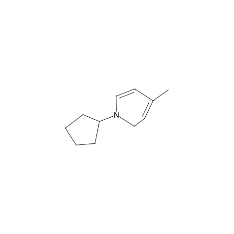 CC1=CCN(C2CCCC2)C=C1